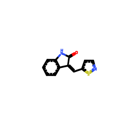 O=C1Nc2ccccc2/C1=C/c1ccns1